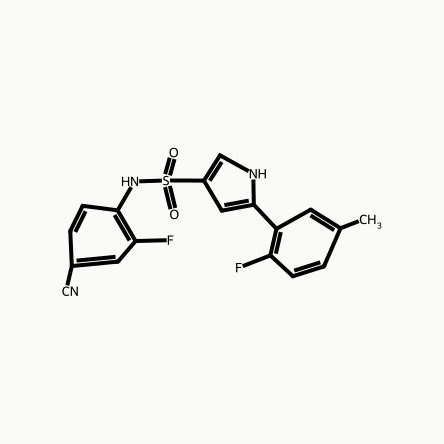 Cc1ccc(F)c(-c2cc(S(=O)(=O)Nc3ccc(C#N)cc3F)c[nH]2)c1